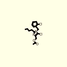 CCCCc1nc(COC(C)=O)c(Cl)n1Cc1ccccc1Cl